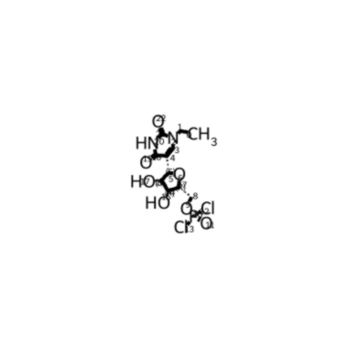 CCn1cc([C@@H]2O[C@H](COP(=O)(Cl)Cl)[C@H](O)[C@@H]2O)c(=O)[nH]c1=O